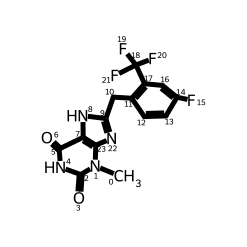 Cn1c(=O)[nH]c(=O)c2[nH]c(Cc3ccc(F)cc3C(F)(F)F)nc21